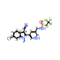 Cn1c(C2=CNCC(CN[S+]([O-])CC(F)(F)F)=C2)c(C#N)c2ccc(Cl)cc21